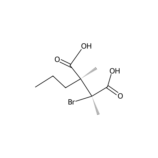 CCC[C@@](C)(C(=O)O)[C@](C)(Br)C(=O)O